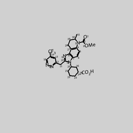 COC(=O)N1c2ccc3c(nc(Cc4cc(C(F)(F)F)cnn4)n3[C@@H]3CCC[C@@H](C(=O)O)C3)c2CCC1C